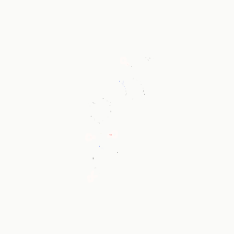 COC(=O)c1cccc(-c2cc(C(F)(F)F)cc(S(=O)(=O)N(C)C[C@H]3CO3)c2)n1